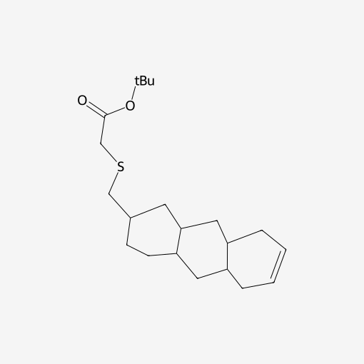 CC(C)(C)OC(=O)CSCC1CCC2CC3CC=CCC3CC2C1